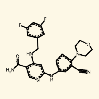 N#Cc1cc(Nc2cc(NCc3cc(F)cc(F)c3)c(C(N)=O)cn2)ccc1N1CCOCC1